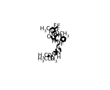 Cc1cc(C(F)(F)F)cc(N2C(=O)C[C@@H]3CN(CCN4CCNC5(C4)CN(C(=O)OC(C)(C)C)C5)c4c(F)cccc4N(C)C(=O)[C@H]32)n1